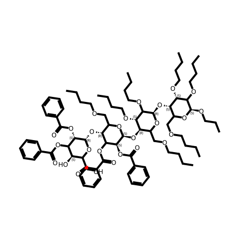 CCCCOCC1O[C@@H](O[C@@H]2C(COCCCC)O[C@H](O[C@H]3C(COCCCC)O[C@H](OCCC)C(OCCCC)[C@H]3OCCCC)C(OCCCC)[C@H]2OCCCC)[C@@H](OC(=O)c2ccccc2)C(OC(=O)c2ccccc2)[C@@H]1O[C@@H]1OC(C(=O)O)[C@@H](O)C(OC(=O)c2ccccc2)[C@@H]1OC(=O)c1ccccc1